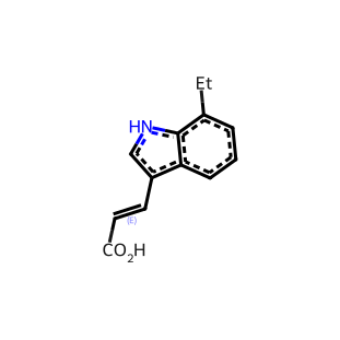 CCc1cccc2c(/C=C/C(=O)O)c[nH]c12